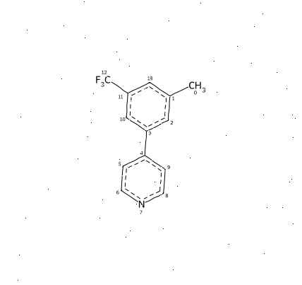 Cc1cc(-c2ccncc2)cc(C(F)(F)F)c1